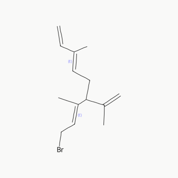 C=C/C(C)=C/CC(C(=C)C)/C(C)=C/CBr